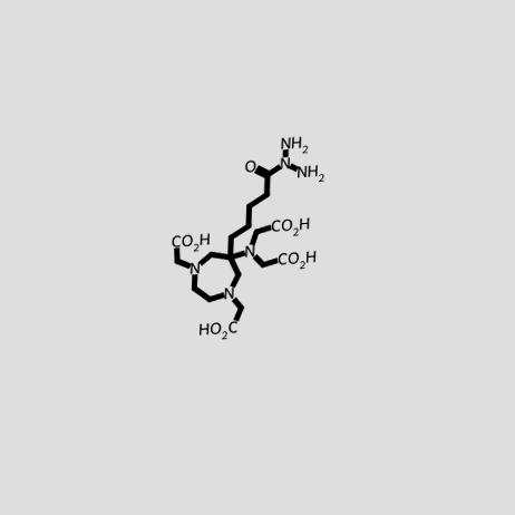 NN(N)C(=O)CCCCC1(N(CC(=O)O)CC(=O)O)CN(CC(=O)O)CCN(CC(=O)O)C1